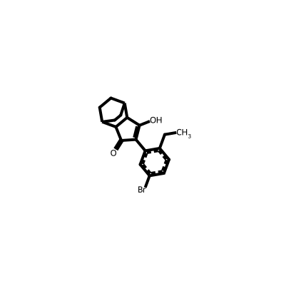 CCc1ccc(Br)cc1C1=C(O)C2C3CCC(CC3)C2C1=O